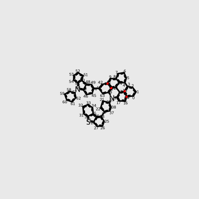 c1ccc(-c2cccc3cccc(-c4ccccc4N(c4ccc(-c5cccc6sc7ccccc7c56)cc4)c4cccc(-c5ccc6c(c5)c5ccccc5n6-c5ccccc5)c4)c23)cc1